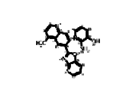 Cc1ccnc2ccc(-c3nc4ncccc4o3)cc12.Nc1ncccc1O